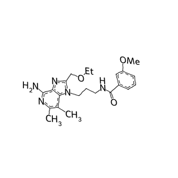 CCOCc1nc2c(N)nc(C)c(C)c2n1CCCNC(=O)c1cccc(OC)c1